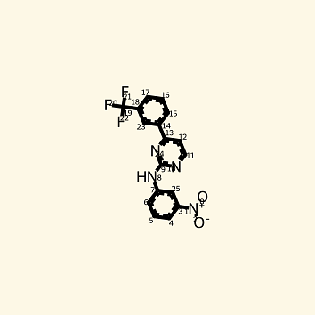 O=[N+]([O-])c1cccc(Nc2nccc(-c3cccc(C(F)(F)F)c3)n2)c1